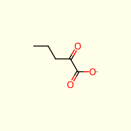 CCCC(=O)C([O])=O